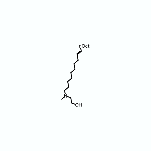 CCCCCCCCC=CCCCCCCCCN(C)CCO